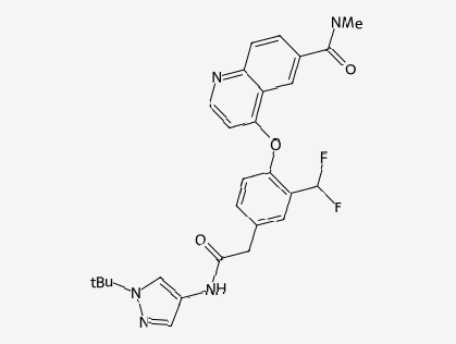 CNC(=O)c1ccc2nccc(Oc3ccc(CC(=O)Nc4cnn(C(C)(C)C)c4)cc3C(F)F)c2c1